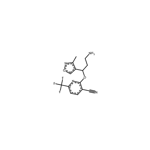 Cc1nocc1C(CCN)Oc1nc(C(F)(F)F)ccc1C#N